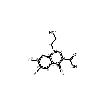 O=C(O)c1cn(CCO)c2cc(Cl)c(F)cc2c1=O